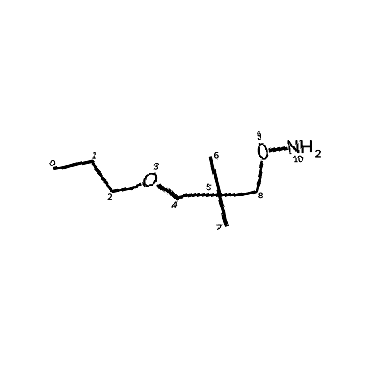 CCCOCC(C)(C)CON